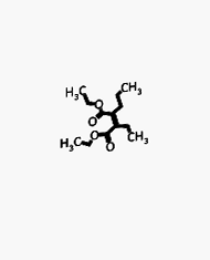 CCC/C(C(=O)OCC)=C(\CC)C(=O)OCC